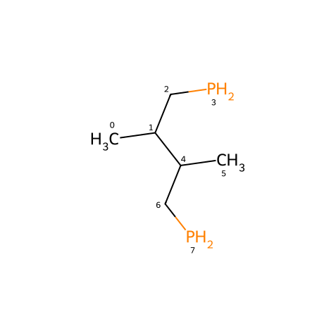 CC(CP)C(C)CP